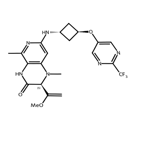 C=C(OC)[C@H]1C(=O)Nc2c(cc(N[C@H]3C[C@H](Oc4cnc(C(F)(F)F)nc4)C3)nc2C)N1C